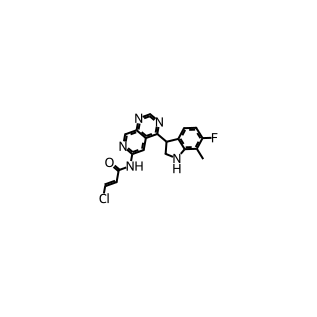 Cc1c(F)ccc2c1NCC2c1ncnc2cnc(NC(=O)C=CCl)cc12